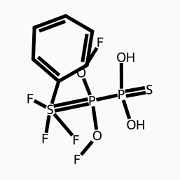 OP(O)(=S)P(OF)(OF)=S(F)(F)(F)c1ccccc1